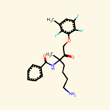 Cc1cc(F)c(F)c(OCC(=O)C(C)(CCCCN)NC(=O)c2ccccc2)c1F